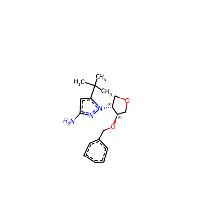 CC(C)(C)c1cc(N)nn1[C@@H]1COC[C@H]1OCc1ccccc1